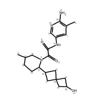 Cc1cc(NC(=O)C(=O)N2CC(C)CCC2C2CC3(CC(O)C3)C2)cnc1N